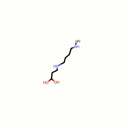 CCCNCCCCNCCC(O)O